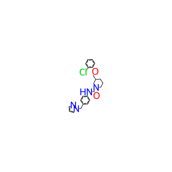 O=C(Nc1ccc(Cn2cccn2)cc1)N1CCCC(COc2ccccc2Cl)C1